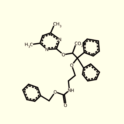 Cc1cc(C)nc(OC(C(=O)O)C(OCCNC(=O)OCc2ccccc2)(c2ccccc2)c2ccccc2)n1